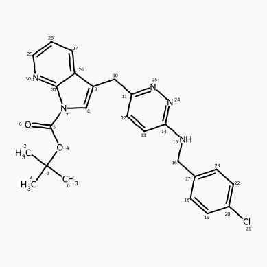 CC(C)(C)OC(=O)n1cc(Cc2ccc(NCc3ccc(Cl)cc3)nn2)c2cccnc21